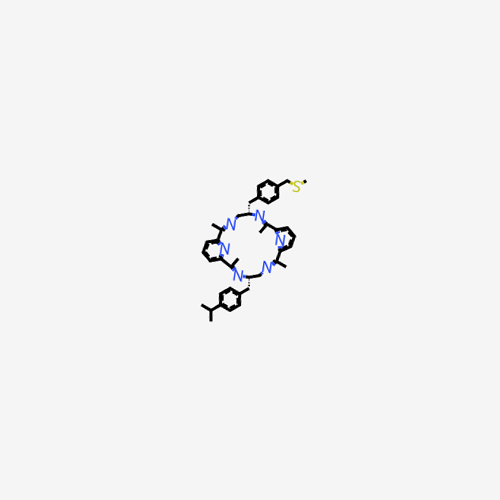 CSCc1ccc(C[C@H]2C/N=C(\C)c3cccc(n3)/C(C)=N/[C@@H](Cc3ccc(C(C)C)cc3)C/N=C(\C)c3cccc(n3)/C(C)=N/2)cc1